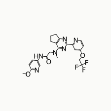 COc1ccc(NC(=O)CN(C)c2nc(-c3cc(OCC(F)(F)F)ccn3)nc3c2CCC3)cn1